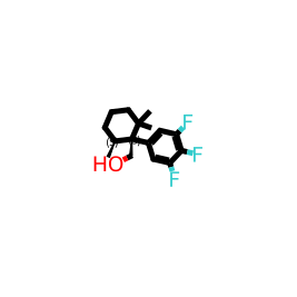 C[C@H]1CCCC(C)(C)[C@]1(CO)c1cc(F)c(F)c(F)c1